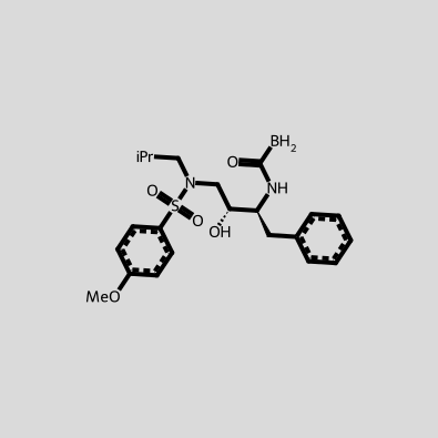 BC(=O)N[C@@H](Cc1ccccc1)[C@H](O)CN(CC(C)C)S(=O)(=O)c1ccc(OC)cc1